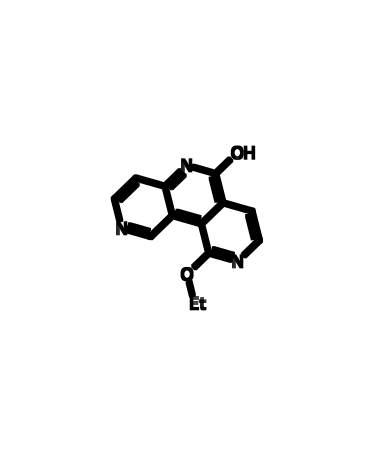 CCOc1nccc2c(O)nc3ccncc3c12